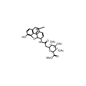 COC(=O)[C@H]1OC(CC(=O)NC2C=CC3C4Cc5ccc(O)c6c5C3(CCN4C)C2O6)[C@H](OC(C)=O)[C@@H](OC(C)=O)[C@@H]1OC(C)=O